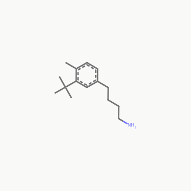 Cc1ccc(CCCCN)cc1C(C)(C)C